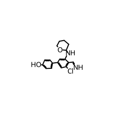 N=Cc1c(Cl)cc(-c2ccc(O)cc2)cc1NC1CCCCO1